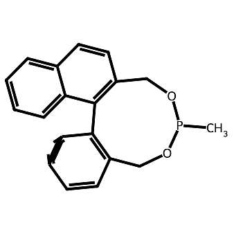 CP1OCc2ccc3ccccc3c2-c2c(ccc3ccccc23)CO1